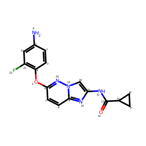 Nc1ccc(Oc2ccc3nc(NC(=O)C4CC4)cn3n2)c(F)c1